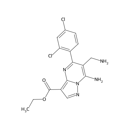 CCOC(=O)c1cnn2c(N)c(CN)c(-c3ccc(Cl)cc3Cl)nc12